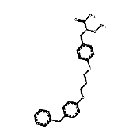 CO[C@@H](Cc1ccc(OCCCOc2ccc(Cc3ccccc3)cc2)cc1)C(C)=O